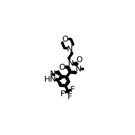 Cn1cc(-c2cc(C(F)(F)F)cc3[nH]ncc23)c(=O)n(CCN2CCOCC2)c1=O